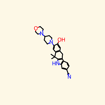 CC1(C)c2cc(N3CCC(N4CCOCC4)CC3)c(O)cc2Cc2c1[nH]c1cc(C#N)ccc21